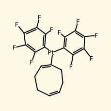 Fc1c(F)c(F)[c]([Pt]([C]2=CCCC=CCC2)[c]2c(F)c(F)c(F)c(F)c2F)c(F)c1F